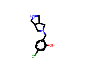 Oc1cc(Cl)ccc1CN1CC2CNCC2C1